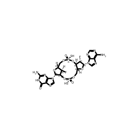 Nc1nc2c(ncn2[C@@H]2O[C@@H]3CO[P@@](=O)(S)O[C@H]4[C@H](F)[C@H](n5cnc6c(N)ncnc65)O[C@@H]4CO[P@](=O)(S)O[C@@H]2[C@@H]3F)c(=O)[nH]1